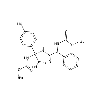 CC(C)(C)OC(=O)NC(C(=O)NC(NC(=O)OC(C)(C)C)(C([NH])=O)c1ccc(O)cc1)c1ccccc1